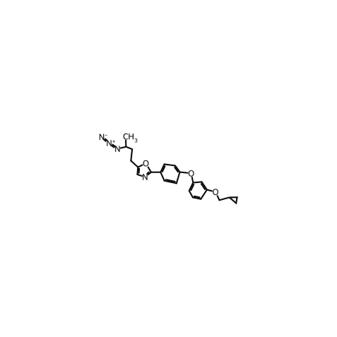 CC(CCc1cnc(-c2ccc(Oc3cccc(OCC4CC4)c3)cc2)o1)N=[N+]=[N-]